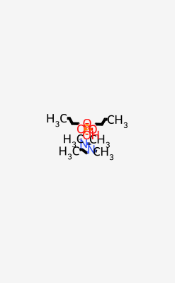 CC1CN(C)C(C)N1C.CCCCOP(=O)(O)OCCCC